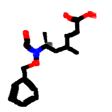 CC(CCC(=O)O)C[C@@H](C)N(C=O)OCc1ccccc1